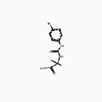 COC(=O)C(C)(C)NC(=O)Nc1ccc(Br)cc1